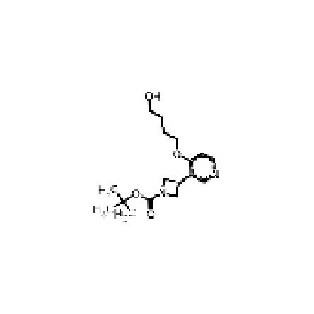 CC(C)(C)OC(=O)N1CC(c2cnccc2OCCCCO)C1